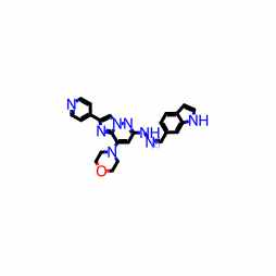 C(=N/Nc1cc(N2CCOCC2)c2nc(-c3ccncc3)cn2n1)/c1ccc2cc[nH]c2c1